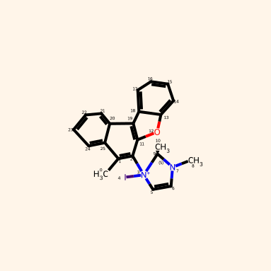 Cc1c([N+]2(I)C=CN(C)[C@@H]2C)c2oc3ccccc3c2c2ccccc12